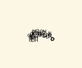 O=c1ccn([C@@H]2O[C@H](COP(=O)(O)OP(=O)(O)OP(=O)(O)O)[C@H](O)C2O)c(=O)n1Cc1ncc(-c2ccccc2)s1